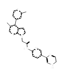 Cc1cc(-c2c(C)cnc3c2ccn3CC(=O)Nc2ccc(C3=CNCC=N3)cn2)ccn1